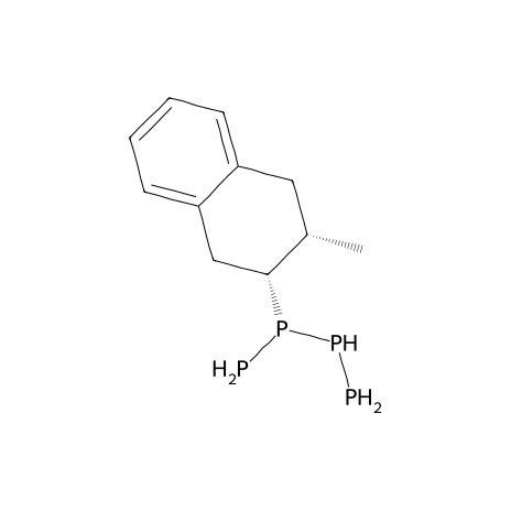 C[C@H]1Cc2ccccc2C[C@H]1P(P)PP